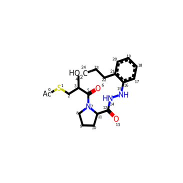 CC(=O)SCC(C)C(=O)N1CCCC1C(=O)NNc1ccccc1CCC(=O)O